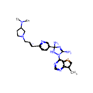 CCN(CC)C1CCN(C/C=C/c2ccc(C3(N)N=C(N)N(c4ncnc5c(C)csc45)N3)cn2)C1